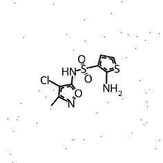 Cc1noc(NS(=O)(=O)c2ccsc2N)c1Cl